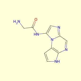 NCC(=O)Nc1cnc2cnc3[nH]ccc3n12